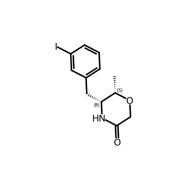 C[C@@H]1OCC(=O)N[C@@H]1Cc1cccc(I)c1